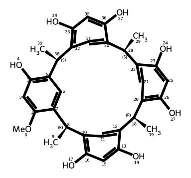 COc1cc(O)c2cc1[C@H](C)c1cc(c(O)cc1O)[C@H](C)c1cc(c(O)cc1O)[C@H](C)c1cc(c(O)cc1O)[C@@H]2C